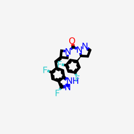 O=C(N1CC(=Cc2cc3[nH]nc(F)c3cc2F)C1)N1N=CC[C@H]1c1cc(F)cc(F)c1